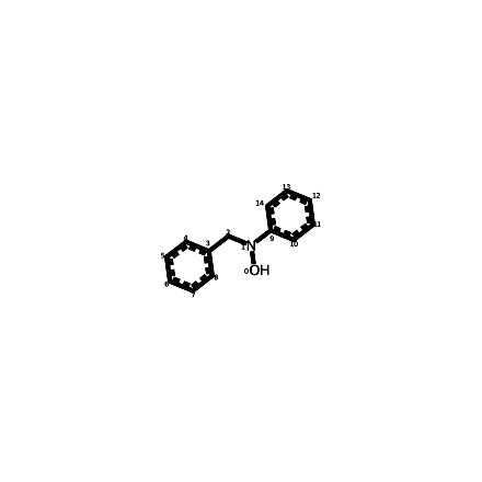 ON(Cc1ccccc1)c1ccccc1